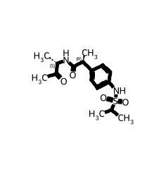 CC(=O)[C@H](C)NC(=O)[C@H](C)c1ccc(NS(=O)(=O)C(C)C)cc1